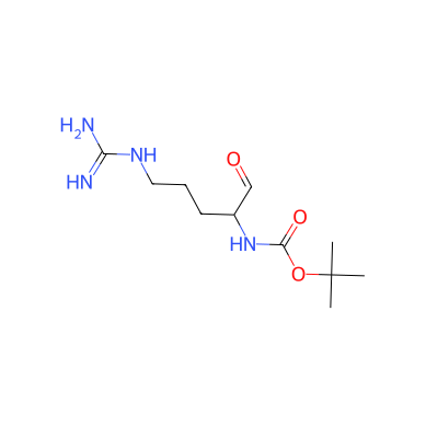 CC(C)(C)OC(=O)NC(C=O)CCCNC(=N)N